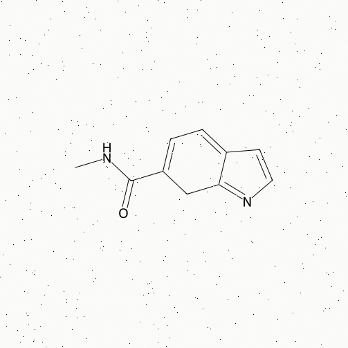 CNC(=O)C1=CC=C2C=CN=C2C1